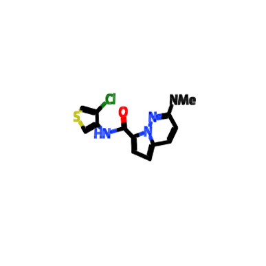 CNc1ccc2ccc(C(=O)Nc3cscc3Cl)n2n1